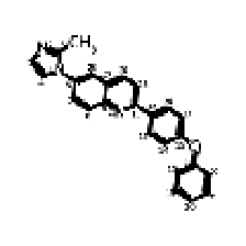 Cc1nccn1-c1ccc2nc(-c3ccc(Oc4ccccc4)cc3)ccc2c1